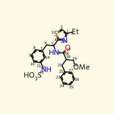 CCc1csc(C(Cc2cccc(NS(=O)(=O)O)c2)NC(=O)C(COC)Cc2ccccc2)n1